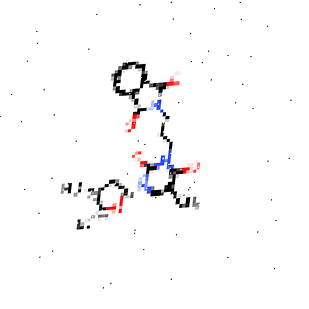 CC[C@H]1O[C@@H](n2cc(C)c(=O)n(CCCN3C(=O)c4ccccc4C3=O)c2=O)C[C@@H]1C